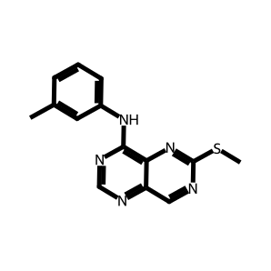 CSc1ncc2ncnc(Nc3cccc(C)c3)c2n1